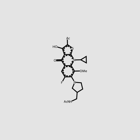 COc1c(N2CCC(CNC(C)=O)C2)c(F)cc2c(=O)c3c(O)c(C(C)=O)sc3n(C3CC3)c12